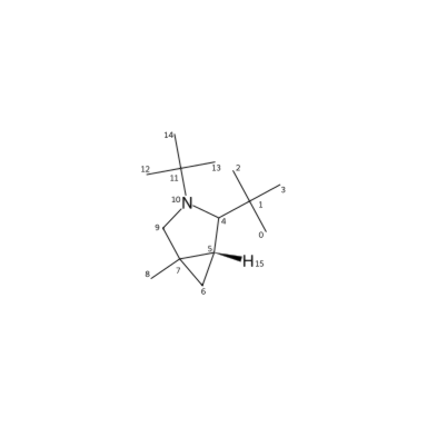 CC(C)(C)C1[C@@H]2CC2(C)CN1C(C)(C)C